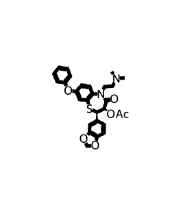 CC(=O)O[C@@H]1C(=O)N(CCN(C)C)c2ccc(Oc3ccccc3)cc2S[C@@H]1c1ccc2c(c1)OCO2